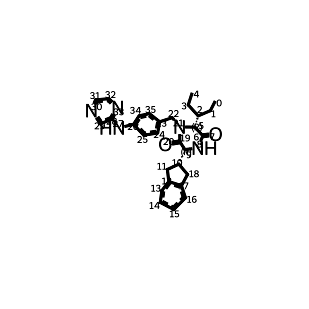 CCC(CC)[C@@H]1C(=O)N[C@H](C2Cc3ccccc3C2)C(=O)N1Cc1ccc(Nc2cnccn2)cc1